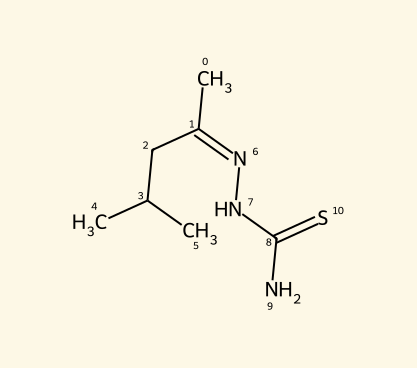 CC(CC(C)C)=NNC(N)=S